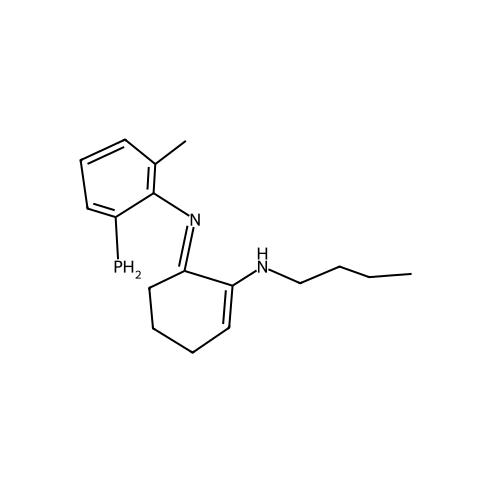 CCCCNC1=CCCC/C1=N\c1c(C)cccc1P